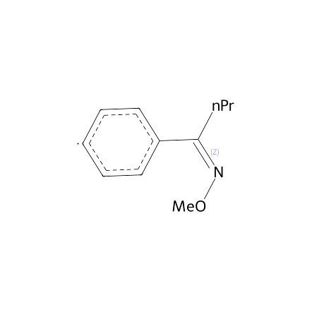 CCC/C(=N/OC)c1cc[c]cc1